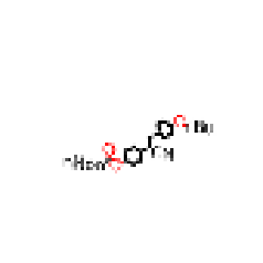 CCCCCCCCCC(=O)Oc1ccc(C(C#N)=Cc2ccc(OCCCC)cc2)cc1